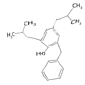 CC(C)Cc1cc(Cc2ccccc2)c(O)c(CC(C)C)c1